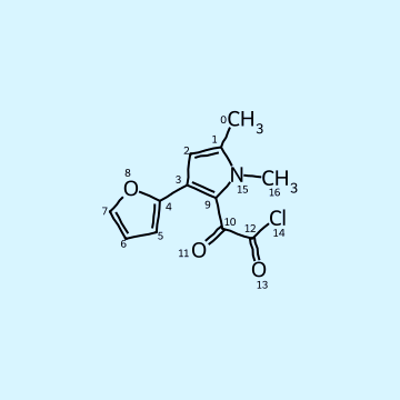 Cc1cc(-c2ccco2)c(C(=O)C(=O)Cl)n1C